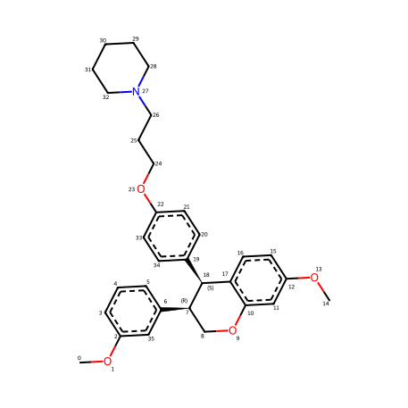 COc1cccc([C@@H]2COc3cc(OC)ccc3[C@@H]2c2ccc(OCCCN3CCCCC3)cc2)c1